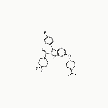 CC(C)N1CCC(Oc2ccc3c(-c4ccc(F)cc4)c(C(=O)N4CCC(F)(F)CC4)oc3c2)CC1